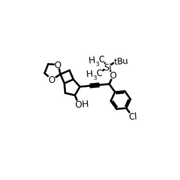 CC(C)(C)[Si](C)(C)OC(C#CC1C(O)CC2C1CC21OCCO1)c1ccc(Cl)cc1